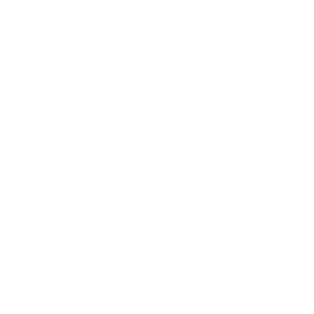 C=C(C)CCc1ccc(O)c(Cl)c1